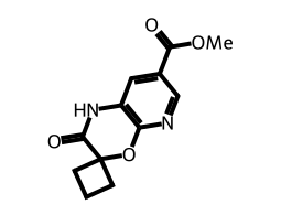 COC(=O)c1cnc2c(c1)NC(=O)C1(CCC1)O2